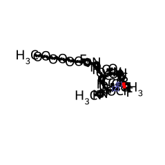 C#C/C1=C(Cl)\C(C)=C(/CC)c2c(-c3ccc(F)cc3)sc3ncnc(c23)O[C@@H](C(=O)O)Cc2cc(ccc2OCc2ccnc(C3=CC[C@@](F)(COCCOCCOCCOCCOCCOC)CC3)n2)OC[C@@H](CN2CCN(C)CC2)O1